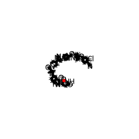 CC1(C)[C@H](NC(=O)c2ccc(-n3cc(C4CCN(C(=O)C5CN(c6ccc7nnn(C8CCC(=O)NC8=O)c(=O)c7c6)C5)CC4)nn3)cc2)C(C)(C)[C@H]1Oc1ccc(C#N)c(Cl)c1